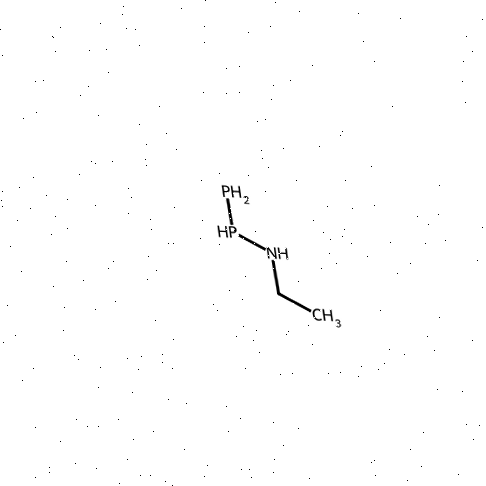 CCNPP